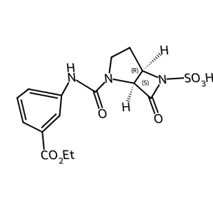 CCOC(=O)c1cccc(NC(=O)N2CC[C@@H]3[C@H]2C(=O)N3S(=O)(=O)O)c1